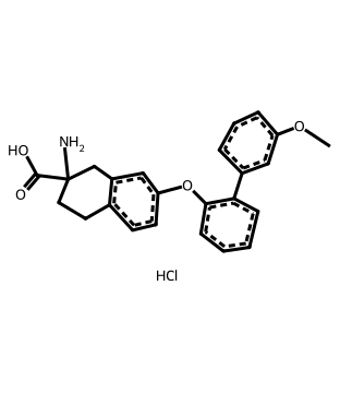 COc1cccc(-c2ccccc2Oc2ccc3c(c2)CC(N)(C(=O)O)CC3)c1.Cl